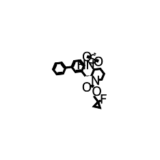 CS(=O)(=O)N[C@@H]1CCCN(C(=O)OCC2(F)CC2)[C@@H]1Cc1cccc(-c2ccccc2)c1